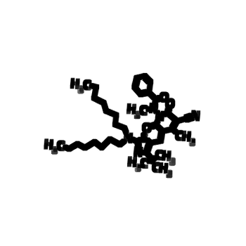 CCCCCCCCN(CCCCCCCC)c1nc(C(C)(C)C)c(/C=C2\C(=O)N(N(C)C(=O)c3ccccc3)C(=O)C(C#N)=C2C)s1